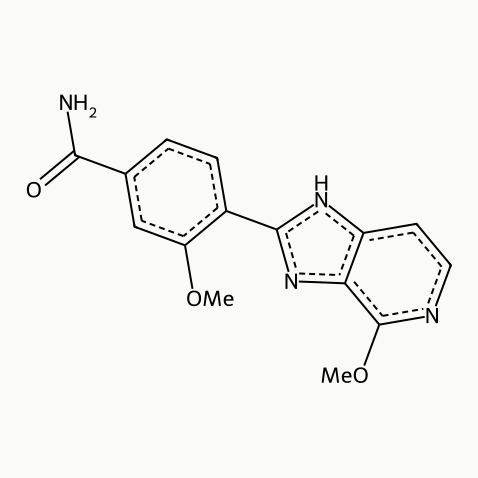 COc1cc(C(N)=O)ccc1-c1nc2c(OC)nccc2[nH]1